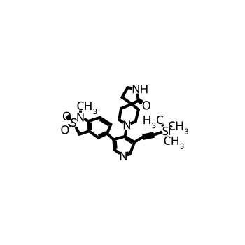 CN1c2ccc(-c3cncc(C#C[Si](C)(C)C)c3N3CCC4(CCNC4=O)CC3)cc2CS1(=O)=O